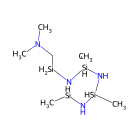 CN(C)C[SiH2]N1[SiH](C)N[SiH](C)N[SiH]1C